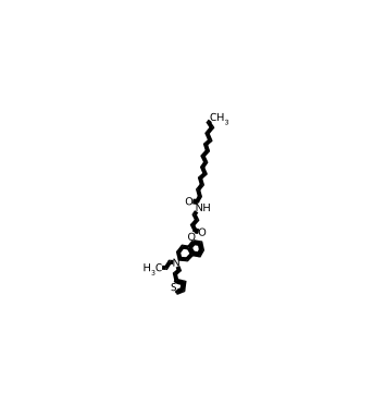 CCCCCCCCCCCCCCCC(=O)NCCCC(=O)Oc1cccc2c1CC[C@H](N(CCC)CCc1cccs1)C2